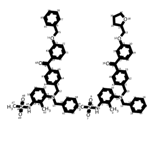 Cc1c(NS(C)(=O)=O)cccc1N(Cc1ccccc1)Cc1ccc(C(=O)c2cccc(OCC3CCCO3)c2)cc1.Cc1c(NS(C)(=O)=O)cccc1N(Cc1ccccc1)Cc1ccc(C(=O)c2cccc(OCc3ccccc3)c2)cc1